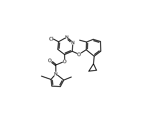 Cc1cccc(C2CC2)c1Oc1nnc(Cl)cc1OC(=O)n1c(C)ccc1C